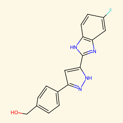 OCc1ccc(-c2cc(-c3nc4cc(F)ccc4[nH]3)[nH]n2)cc1